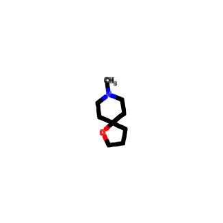 CN1CCC2(CCCO2)CC1